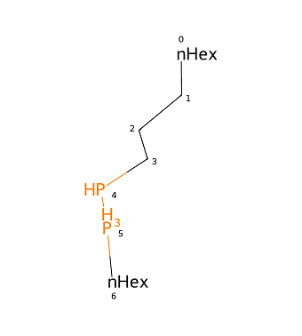 CCCCCCCCCP[PH3]CCCCCC